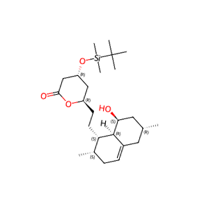 C[C@@H]1CC2=CC[C@H](C)[C@H](CC[C@@H]3C[C@@H](O[Si](C)(C)C(C)(C)C)CC(=O)O3)[C@H]2[C@@H](O)C1